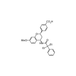 CCC(CC)(C(=O)N[C@@H]1C[C@H](c2ccc(C(=O)O)cc2)Oc2cc(OC)ccc21)c1ccccc1